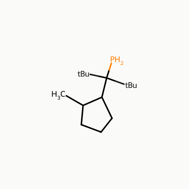 CC1CCCC1C(P)(C(C)(C)C)C(C)(C)C